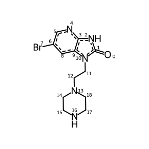 O=c1[nH]c2ncc(Br)cc2n1CCN1CCNCC1